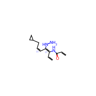 C=CC(=O)N/C(C=C)=C(/C=C\CC1CC1)NN